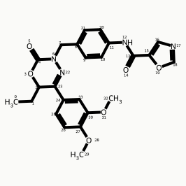 CCC1OC(=O)N(Cc2ccc(NC(=O)c3cnco3)cc2)N=C1c1ccc(OC)c(OC)c1